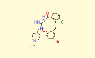 CCN1CCC(CN2Oc3ccc(Br)cc3CCc3c(Cl)cccc3C(=O)NC2=N)CC1